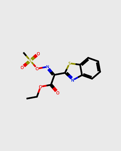 CCOC(=O)/C(=N\OS(C)(=O)=O)c1nc2ccccc2s1